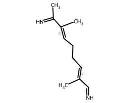 CC(=N)/C(C)=C/CC/C=C(\C)C=N